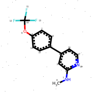 CNc1cc(-c2ccc(OC(F)(F)F)cc2)ccn1